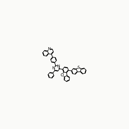 c1ccc(-c2cc(-c3ccc(-c4ccc5c(c4)sc4ccccc45)c4c3oc3ccccc34)nc(-c3ccc(-c4ccnc5ccccc45)cc3)n2)cc1